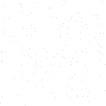 CC(C)(C)N(C(=O)O)N(C(=O)O)c1ccc([N+](=O)[O-])cc1